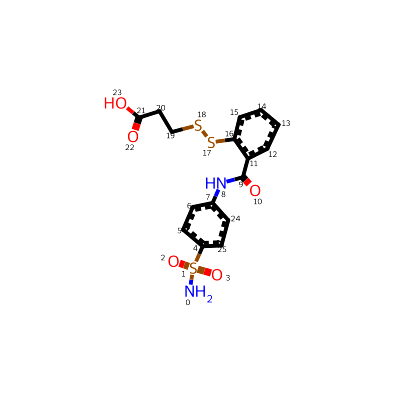 NS(=O)(=O)c1ccc(NC(=O)c2ccccc2SSCCC(=O)O)cc1